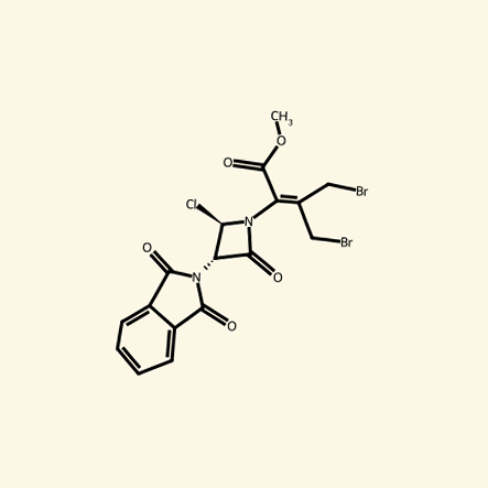 COC(=O)C(=C(CBr)CBr)N1C(=O)[C@H](N2C(=O)c3ccccc3C2=O)[C@H]1Cl